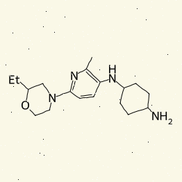 CCC1CN(c2ccc(NC3CCC(N)CC3)c(C)n2)CCO1